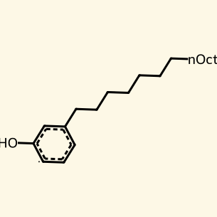 CCCCCCCCCCCCCCCc1cc[c]c(O)c1